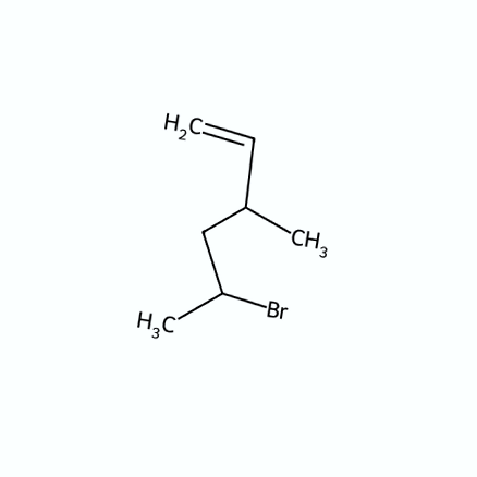 C=CC(C)CC(C)Br